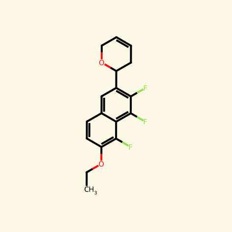 CCOc1ccc2cc(C3CC=CCO3)c(F)c(F)c2c1F